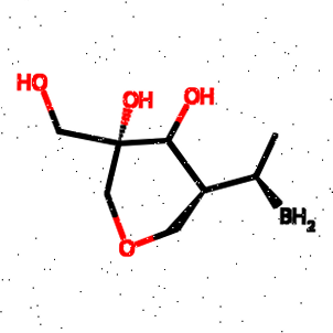 B[C@H](C)[C@H]1COC[C@@](O)(CO)C1O